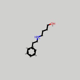 OCCCCNCCc1ccccc1